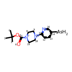 CC(C)(C)OC(=O)N1CCN(c2ccc([AsH2])cn2)CC1